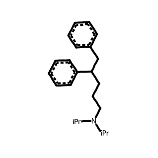 CC(C)N(CCCC(Cc1ccccc1)c1ccccc1)C(C)C